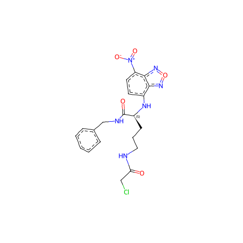 O=C(CCl)NCCC[C@H](Nc1ccc([N+](=O)[O-])c2nonc12)C(=O)NCc1ccccc1